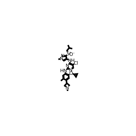 Cc1cc(Nc2ncc(Cl)c(Nc3cn(C)nc3[S+]([O-])CC(C)C)n2)c(OC2CC2)cc1C1CN(C)C1